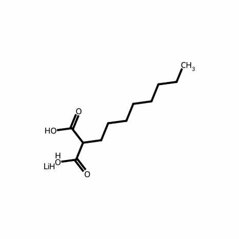 CCCCCCCCC(C(=O)O)C(=O)O.[LiH]